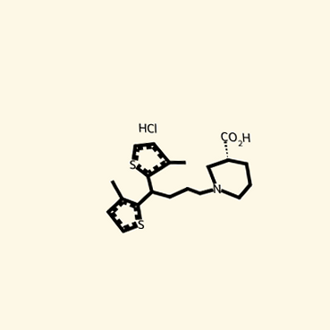 Cc1ccsc1C(CCCN1CCC[C@@H](C(=O)O)C1)c1sccc1C.Cl